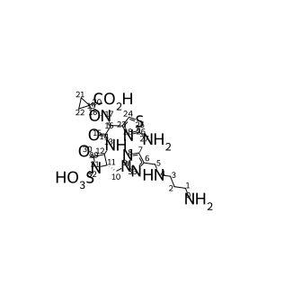 NCCCNCc1cnn(C[C@H]2C(NC(=O)/C(=N\OC3(C(=O)O)CC3)c3csc(N)n3)C(=O)N2S(=O)(=O)O)n1